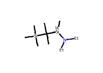 CCN(CC)[SiH](C)C(C)(C)[Si](C)(C)C